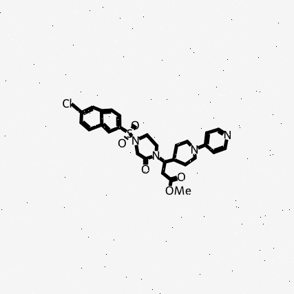 COC(=O)CC(C1CCN(c2ccncc2)CC1)N1CCN(S(=O)(=O)c2ccc3cc(Cl)ccc3c2)CC1=O